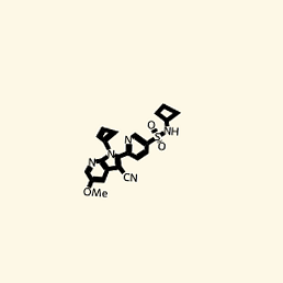 COc1cnc2c(c1)c(C#N)c(-c1ccc(S(=O)(=O)NC3CCC3)cn1)n2C1=CC=C1